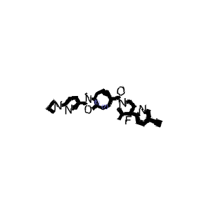 C#Cc1ccc(C2(F)CCN(C(=O)C3C#CC/C(N(C)C(=O)c4ccc(N5CCC5)nc4)=C(C)\C=C/3)CC2C)nc1